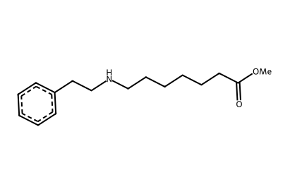 COC(=O)CCCCCCNCCc1ccccc1